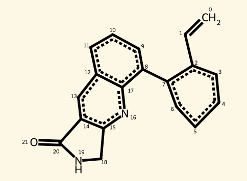 C=Cc1ccccc1-c1cccc2cc3c(nc12)CNC3=O